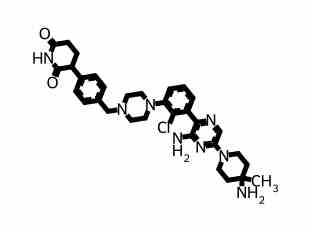 CC1(N)CCN(c2cnc(-c3cccc(N4CCN(Cc5ccc(C6CCC(=O)NC6=O)cc5)CC4)c3Cl)c(N)n2)CC1